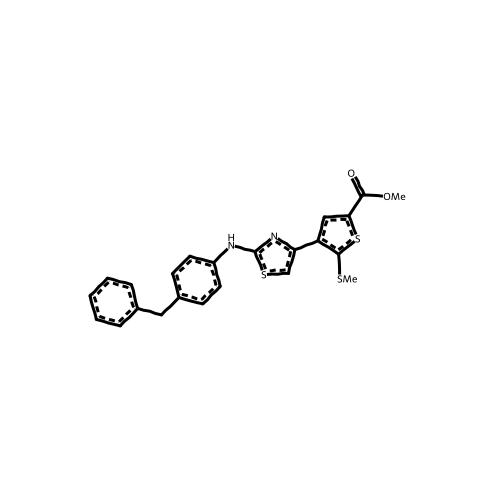 COC(=O)c1cc(-c2csc(Nc3ccc(Cc4ccccc4)cc3)n2)c(SC)s1